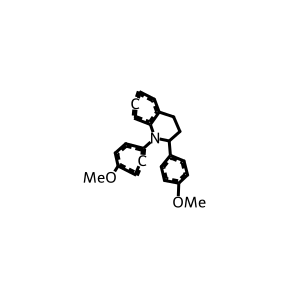 COc1ccc(C2CCc3ccccc3N2c2ccc(OC)cc2)cc1